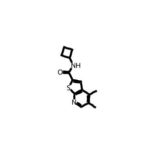 Cc1cnc2sc(C(=O)NC3CCC3)cc2c1C